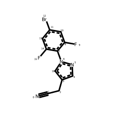 N#CCc1cnn(-c2c(F)cc(Br)cc2F)c1